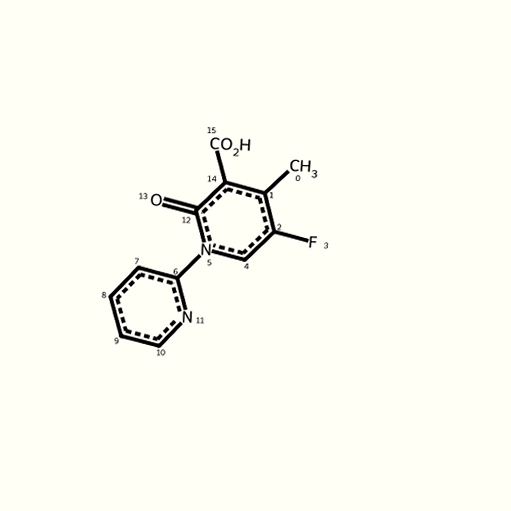 Cc1c(F)cn(-c2ccccn2)c(=O)c1C(=O)O